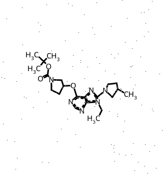 CCn1c(N2CCC(C)C2)nc2c(OC3CCN(C(=O)OC(C)(C)C)C3)ncnc21